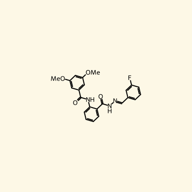 COc1cc(OC)cc(C(=O)Nc2ccccc2C(=O)NN=Cc2cccc(F)c2)c1